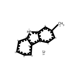 Cc1ccc2c(c1)[pH]c1ccccc12.[Li]